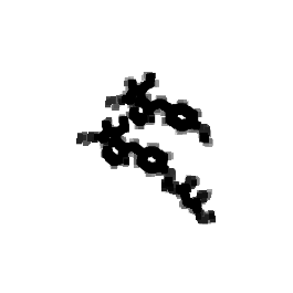 CCc1c(C)c(N)n2ccnc(Cc3ccc(OC)cc3)c12.CCc1c(C)c(N)n2ccnc(Cc3ccc(OC)cc3)c12.O=C(O)CC(=O)O